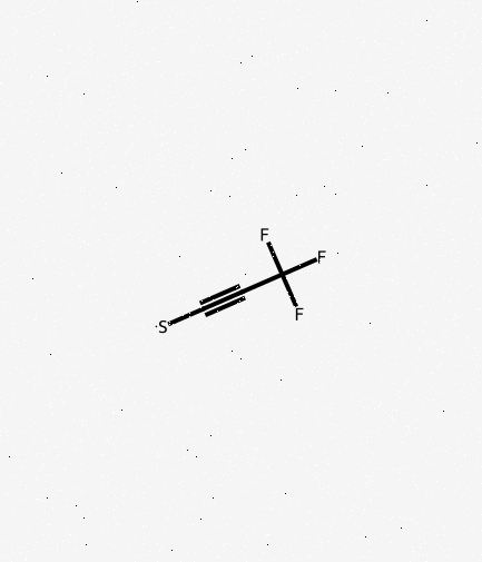 FC(F)(F)C#C[S]